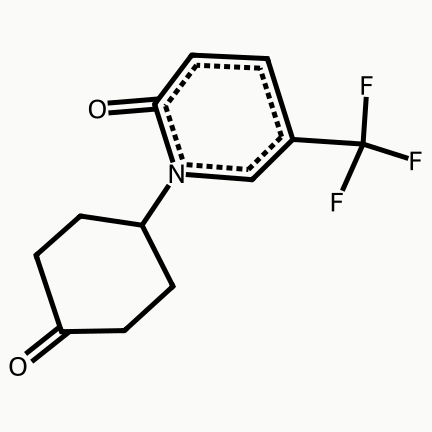 O=C1CCC(n2cc(C(F)(F)F)ccc2=O)CC1